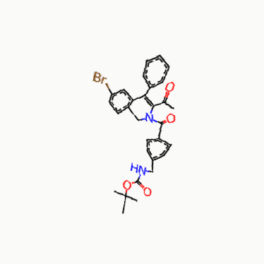 CC(=O)C1=C(c2ccccc2)c2cc(Br)ccc2CN1C(=O)c1ccc(CNC(=O)OC(C)(C)C)cc1